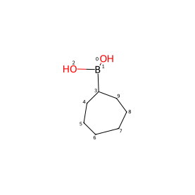 OB(O)C1CCCCCC1